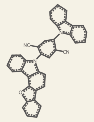 N#Cc1cc(-n2c3ccccc3c3c4oc5ccccc5c4ccc32)c(C#N)cc1-n1c2ccccc2c2ccccc21